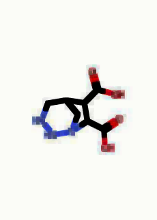 O=C(O)C1C2CNNN(C2)C1C(=O)O